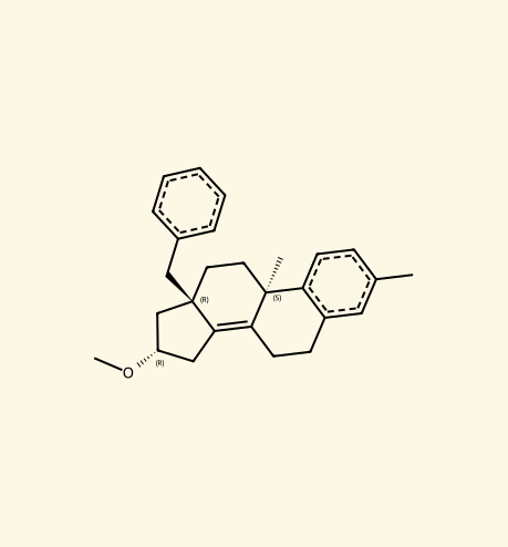 CO[C@H]1CC2=C3CCc4cc(C)ccc4[C@]3(C)CC[C@@]2(Cc2ccccc2)C1